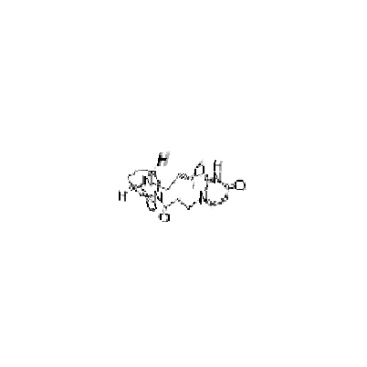 CC(C)=CCN1C(=O)[C@@H]2CC[C@H]1CN(C(=O)CCn1ccc(=O)[nH]c1=O)C2